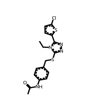 CCn1c(SCc2ccc(NC(C)=O)cc2)nnc1-c1ccc(Cl)s1